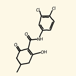 CC1CC(=O)C(C(=O)Nc2ccc(Cl)c(Cl)c2)=C(O)C1